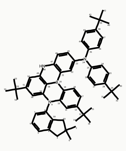 CC1(C)Cc2cccc(N3c4cc(C(C)(C)C)ccc4B4c5cc(N(c6ccc(C(C)(C)C)cc6)c6ccc(C(C)(C)C)cc6)ccc5Nc5cc(C(C)(C)C)cc3c54)c2C1